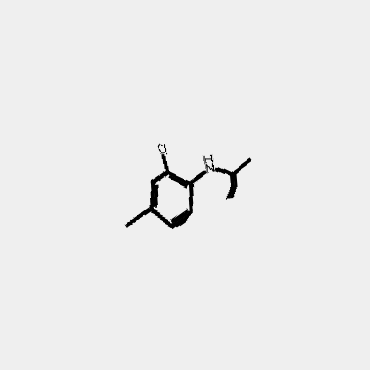 C=C(C)Nc1ccc(C)cc1Cl